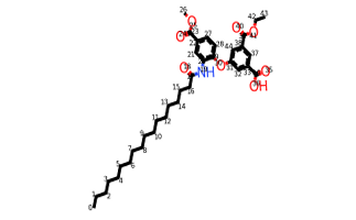 CCCCCCCCCCCCCCCCCC(=O)Nc1cc(C(=O)OC)ccc1Oc1cc(C(=O)O)cc(C(=O)OCC)c1